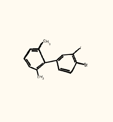 Cc1cccc(C)c1-c1ccc(Br)c(I)c1